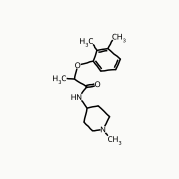 Cc1cccc(OC(C)C(=O)NC2CCN(C)CC2)c1C